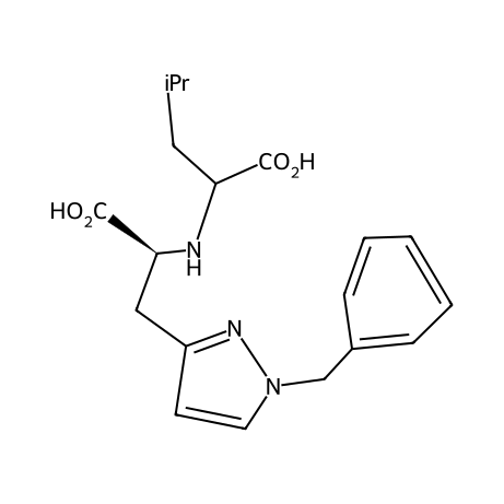 CC(C)CC(N[C@@H](Cc1ccn(Cc2ccccc2)n1)C(=O)O)C(=O)O